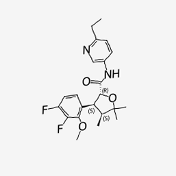 CCc1ccc(NC(=O)[C@@H]2OC(C)(C)[C@@H](C)[C@H]2c2ccc(F)c(F)c2OC)cn1